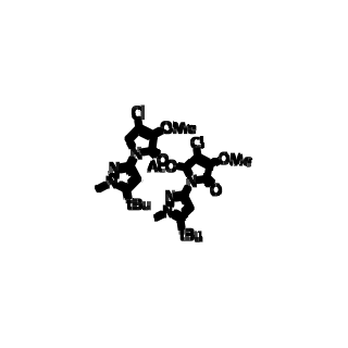 COC1=C(Cl)C(OC(C)=O)N(c2cc(C(C)(C)C)n(C)n2)C1=O.COC1=C(Cl)CN(c2cc(C(C)(C)C)n(C)n2)C1=O